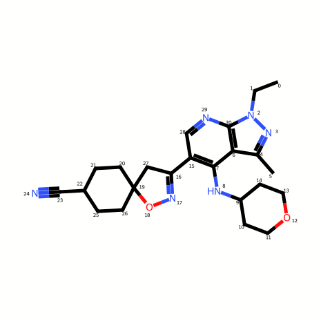 CCn1nc(C)c2c(NC3CCOCC3)c(C3=NOC4(CCC(C#N)CC4)C3)cnc21